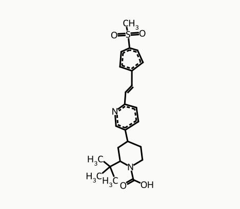 CC(C)(C)C1CC(c2ccc(C=Cc3ccc(S(C)(=O)=O)cc3)nc2)CCN1C(=O)O